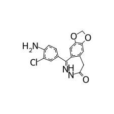 Nc1ccc(C2=NNC(=O)Cc3cc4c(cc32)OCO4)cc1Cl